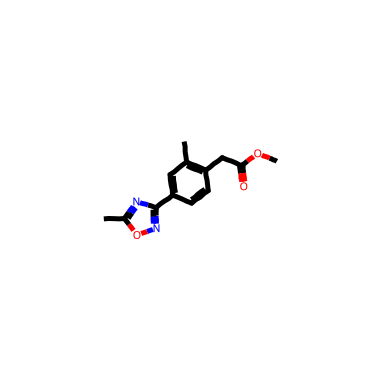 COC(=O)Cc1ccc(-c2noc(C)n2)cc1C